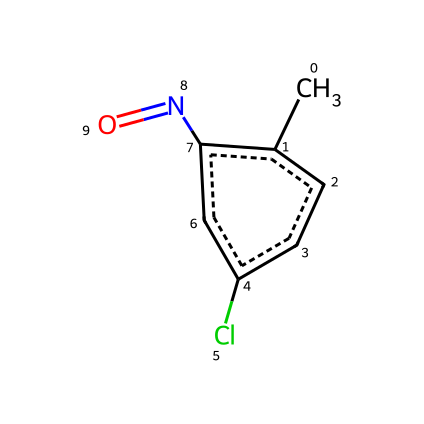 Cc1ccc(Cl)cc1N=O